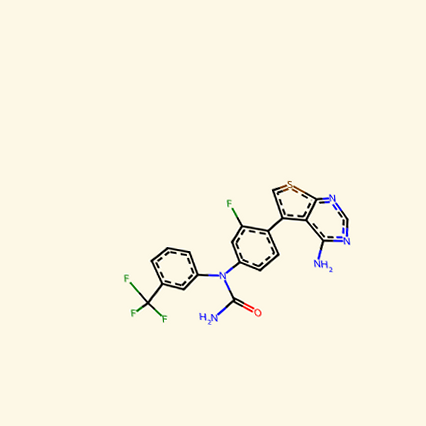 NC(=O)N(c1cccc(C(F)(F)F)c1)c1ccc(-c2csc3ncnc(N)c23)c(F)c1